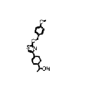 COc1ccc(COc2nc(C3=CCC(C(C)O)CC3)cs2)cc1